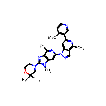 COc1ccncc1-c1cc2c(cnn2-c2cc3c(nc(N4CCOC(C)(C)C4)n3C)c(C(C)C)n2)c(C)n1